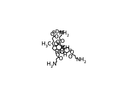 CCCCCCCCCCOC(=O)CC[C@@H](C)C1CC[C@H]2[C@@H]3[C@H](OC(=O)CCN)C[C@@H]4C[C@H](OC(=O)CCN)CC[C@]4(C)[C@H]3C[C@H](OC(=O)CCN)[C@]12C